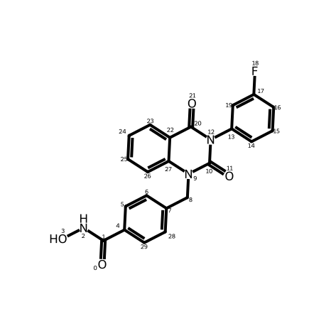 O=C(NO)c1ccc(Cn2c(=O)n(-c3cccc(F)c3)c(=O)c3ccccc32)cc1